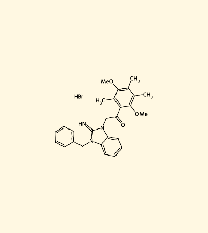 Br.COc1c(C)c(C)c(OC)c(C(=O)Cn2c(=N)n(Cc3ccccc3)c3ccccc32)c1C